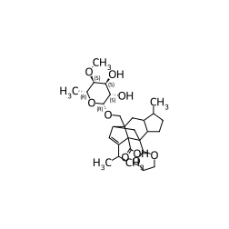 CO[C@H]1[C@@H](O)[C@H](O)[C@H](OCC23CC4C(C)CCC4C4(C5OCCO5)CC2C=C(C(C)C)C34C(=O)O)O[C@@H]1C